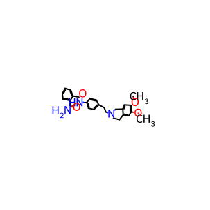 COc1cc2c(cc1OC)CN(CCc1ccc(NC(=O)c3ccccc3C(N)=O)cc1)CC2